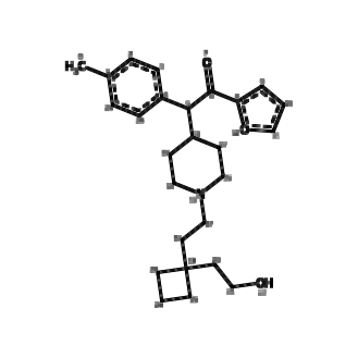 Cc1ccc(C(C(=O)c2ccco2)C2CCN(CCC3(CCO)CCC3)CC2)cc1